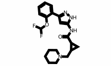 O=C(Nc1cc(-c2ccccc2OC(F)F)n[nH]1)C1CC1CN1CCCCC1